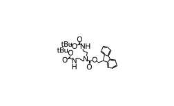 CC(C)(C)OC(=O)NCCN(CCNC(=O)OC(C)(C)C)C(=O)OCC1c2ccccc2-c2ccccc21